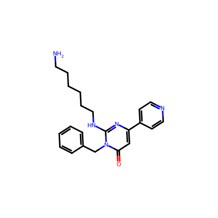 NCCCCCCNc1nc(-c2ccncc2)cc(=O)n1Cc1ccccc1